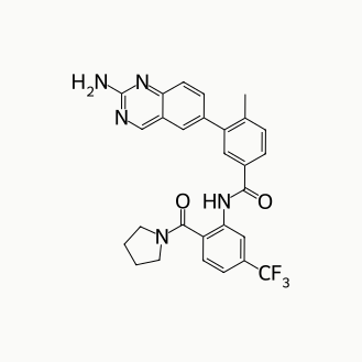 Cc1ccc(C(=O)Nc2cc(C(F)(F)F)ccc2C(=O)N2CCCC2)cc1-c1ccc2nc(N)ncc2c1